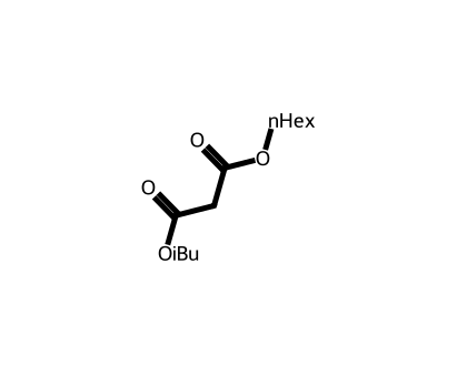 CCCCCCOC(=O)CC(=O)OCC(C)C